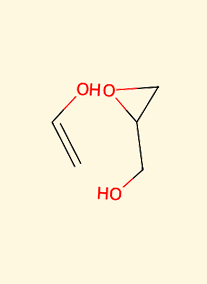 C=CO.OCC1CO1